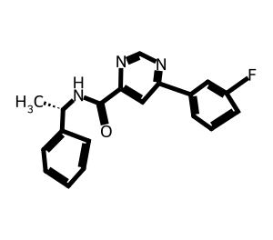 C[C@H](NC(=O)c1cc(-c2cccc(F)c2)ncn1)c1ccccc1